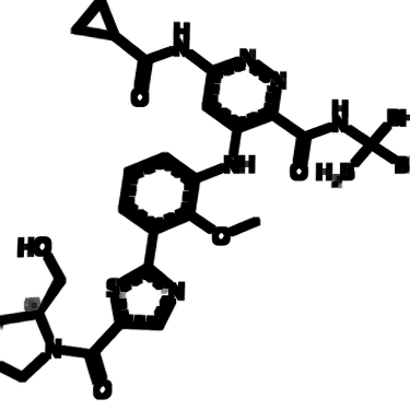 BC(B)(B)NC(=O)c1nnc(NC(=O)C2CC2)cc1Nc1cccc(-c2ncc(C(=O)N3CCC[C@H]3CO)s2)c1OC